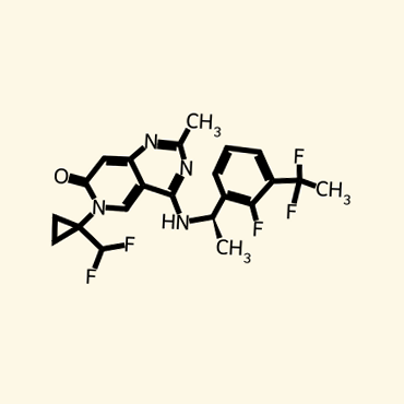 Cc1nc(N[C@H](C)c2cccc(C(C)(F)F)c2F)c2cn(C3(C(F)F)CC3)c(=O)cc2n1